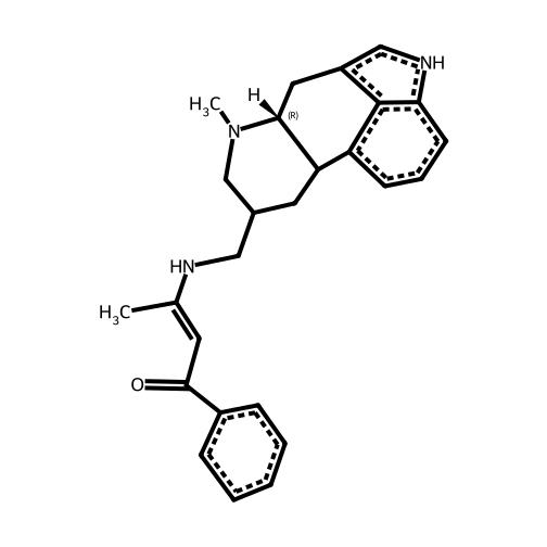 CC(=CC(=O)c1ccccc1)NCC1CC2c3cccc4[nH]cc(c34)C[C@H]2N(C)C1